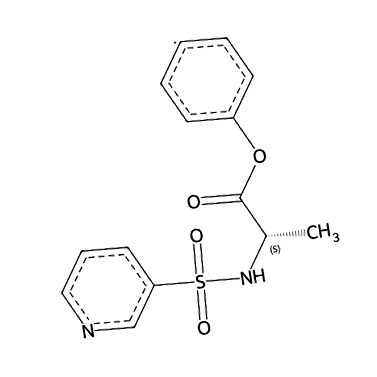 C[C@H](NS(=O)(=O)c1cccnc1)C(=O)Oc1cc[c]cc1